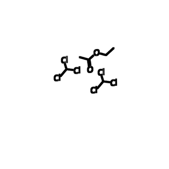 CCOC(C)=O.ClC(Cl)Cl.ClC(Cl)Cl